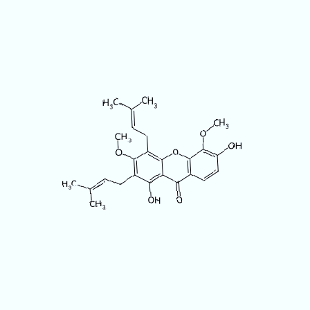 COc1c(CC=C(C)C)c(O)c2c(=O)c3ccc(O)c(OC)c3oc2c1CC=C(C)C